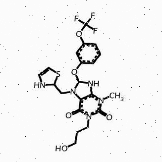 Cn1c2c(c(=O)n(CCCO)c1=O)N(CC1NC=CS1)C(Oc1cccc(OC(F)(F)F)c1)N2